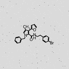 Cc1cn(Cc2ccccc2)c(C(=O)NCCc2ccc(Br)cc2)c1-c1ccco1